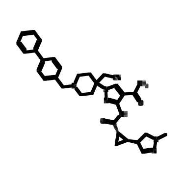 CN1CC([C@H]2C[C@@H]2C(=O)Nc2nn(C3(CC#N)CCN(Cc4ccc(-c5ccccc5)cc4)CC3)cc2C(N)=O)C=N1